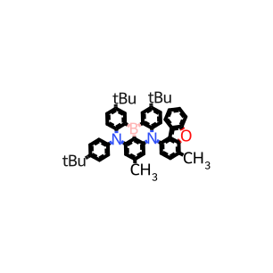 Cc1cc2c3c(c1)N(c1ccc(C)c4oc5ccccc5c14)c1ccc(C(C)(C)C)cc1B3c1cc(C(C)(C)C)ccc1N2c1ccc(C(C)(C)C)cc1